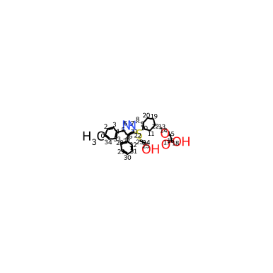 Cc1ccc(-c2nn(C[C@H]3CC[C@@H](COCC(=O)O)CC3)c(SCCO)c2-c2ccccc2)cc1